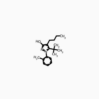 CCCCc1c(O)nn(-c2ccccc2C)c1C(C)(C)C